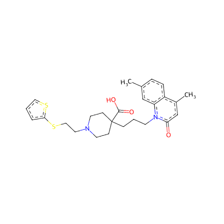 Cc1ccc2c(C)cc(=O)n(CCCC3(C(=O)O)CCN(CCSc4cccs4)CC3)c2c1